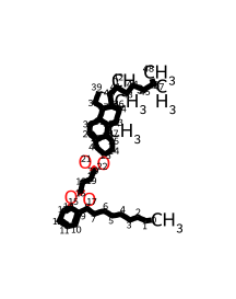 CCCCCCCCCc1ccccc1OC(=O)CCC(=O)OC1CC[C@@]2(C)C(=CCC3C2CC[C@@]2(C)C3CC[C@@H]2[C@H](C)CCCC(C)C)C1